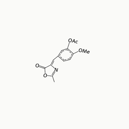 COc1ccc(/C=C2\N=C(C)OC2=O)cc1OC(C)=O